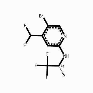 C[C@@H](Nc1cc(C(F)F)c(Br)cn1)C(F)(F)F